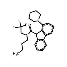 CCCCN(CC(F)(F)F)C(=O)C1c2ccccc2-c2cccc(N3CCCCC3)c21